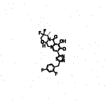 C[C@@H]1N2C(=O)c3c(O)c(=O)c(-c4nnc(Cc5ccc(F)cc5F)s4)cn3C[C@H]2OCC1(F)F